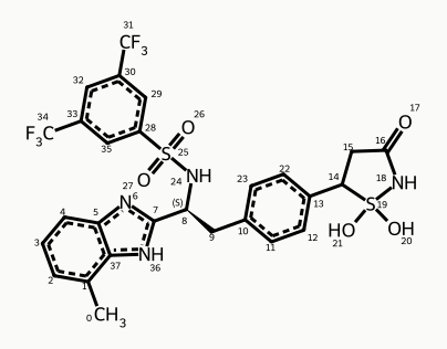 Cc1cccc2nc([C@H](Cc3ccc(C4CC(=O)NS4(O)O)cc3)NS(=O)(=O)c3cc(C(F)(F)F)cc(C(F)(F)F)c3)[nH]c12